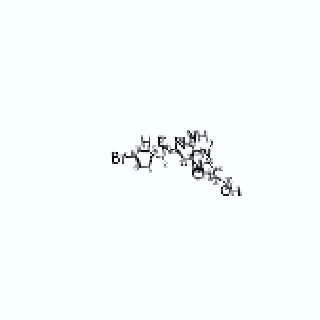 CN(Cc1ccc(Br)cc1)c1cc2c(nc(CCCO)n2C)c(N)n1